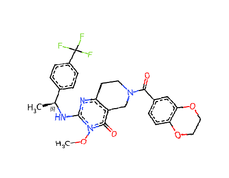 COn1c(N[C@@H](C)c2ccc(C(F)(F)F)cc2)nc2c(c1=O)CN(C(=O)c1ccc3c(c1)OCCO3)CC2